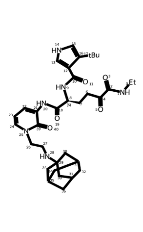 CCNC(=O)C(=O)CC[C@H](NC(=O)c1c[nH]cc1C(C)(C)C)C(=O)Nc1cccn(CCNC23CC4CC(CC(C4)C2)C3)c1=O